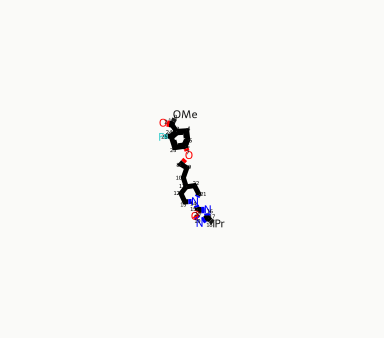 COC(=O)c1ccc(OCCCC2CCN(c3nc(C(C)C)no3)CC2)cc1F